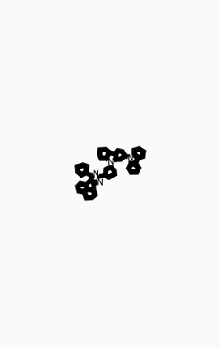 c1ccc(-c2nc(-c3cccc(-n4c5ccccc5c5ccc(-n6c7ccccc7c7ccccc76)cc54)c3)nc3c2-c2cccc4cccc-3c24)cc1